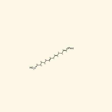 CCCCC/C=C/CC/C=C/C/C=C/CCCCCC(=O)O